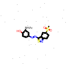 CC(=O)Nc1cc(N=Nc2snc3ccc(S(C)(=O)=O)cc23)ccc1O